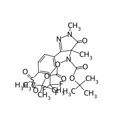 CN1N=C(c2ccc(S(C)(=O)=O)c(C(F)(F)F)c2)C(C)(N(OC(=O)OC(C)(C)C)C(=O)OC(C)(C)C)C1=O